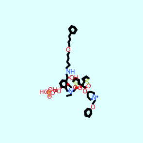 CC[N+](CC)(CC(=O)OC(C(=O)OC1CC[N+](C)(CCOc2ccccc2)CC1)(c1cccs1)c1cccs1)Cc1cc(C(O)CNCCCCCCOCCCCc2ccccc2)ccc1OCOP(=O)(O)O